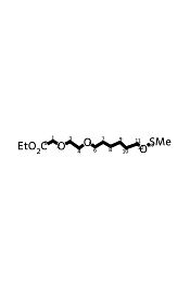 CCOC(=O)COCCOCCCCCCOSC